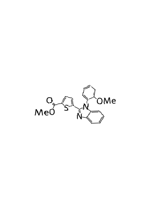 COC(=O)c1ccc(-c2nc3ccccc3n2-c2ccccc2OC)s1